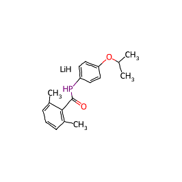 Cc1cccc(C)c1C(=O)Pc1ccc(OC(C)C)cc1.[LiH]